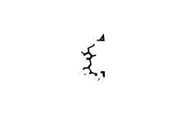 Cc1[nH]c(C=C2C(=O)NN=C2c2nccnn2)c(C)c1CCNC1CC1